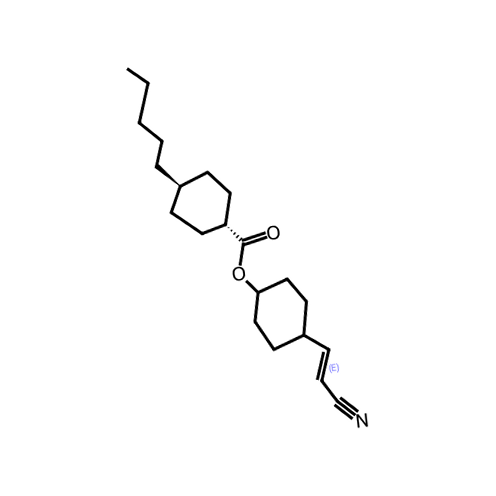 CCCCC[C@H]1CC[C@H](C(=O)OC2CCC(/C=C/C#N)CC2)CC1